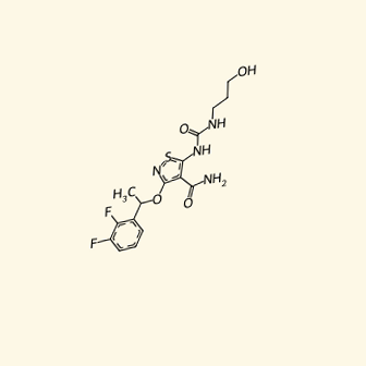 CC(Oc1nsc(NC(=O)NCCCO)c1C(N)=O)c1cccc(F)c1F